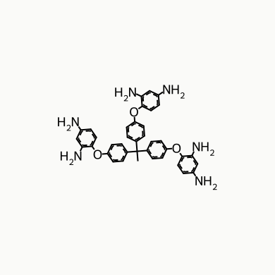 CC(c1ccc(Oc2ccc(N)cc2N)cc1)(c1ccc(Oc2ccc(N)cc2N)cc1)c1ccc(Oc2ccc(N)cc2N)cc1